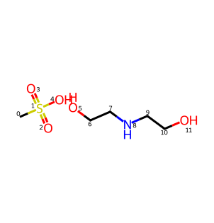 CS(=O)(=O)O.OCCNCCO